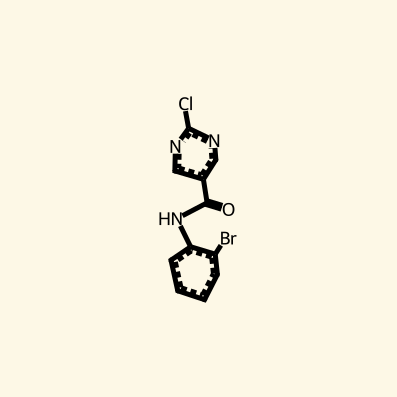 O=C(Nc1ccccc1Br)c1cnc(Cl)nc1